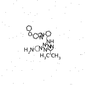 CC(C)c1cnn2c(NCc3ccccc3-n3cc4cc(Oc5ccccc5)ccc4n3)nc(N3CCC(N)CC3)nc12